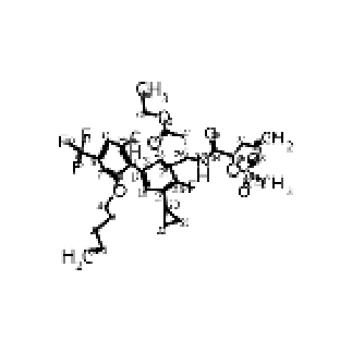 C=CCCCOc1cc(C(F)(F)F)cc(C)c1-c1cc(C2CC2)c(F)c([C@H](CC(=O)OCC)NC(=O)[C@@H](CC=C)OS(C)(=O)=O)c1